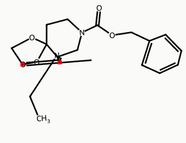 CCN1CCC2(CN(C(=O)OCc3ccccc3)CCC23OCCO3)C1=O